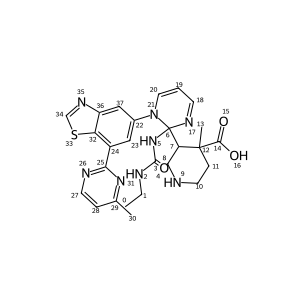 CCNC(=O)NC1(C2CNCCC2(C)C(=O)O)N=CC=CN1c1cc(-c2nccc(C)n2)c2scnc2c1